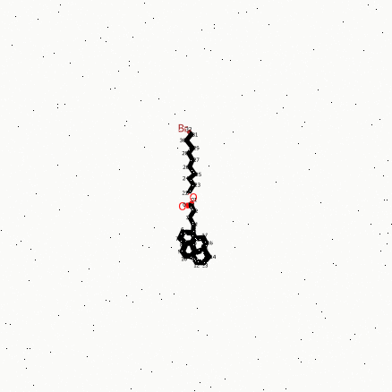 O=C(CCCc1ccc2ccc3cccc4ccc1c2c34)OCCCCCCCCCCBr